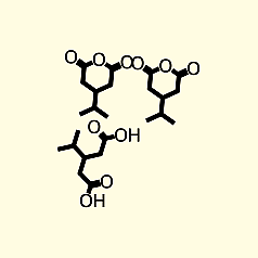 CC(C)C(CC(=O)O)CC(=O)O.CC(C)C1CC(=O)OC(=O)C1.CC(C)C1CC(=O)OC(=O)C1